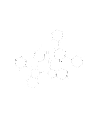 C/C=C\C1=C(C)N(c2nc(-c3ccccc3)nc(-c3ccccc3)n2)c2c(oc3ccccc23)-c2c1n(-c1ccccc1)c1ccccc21